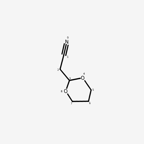 N#CC[C]1OCCCO1